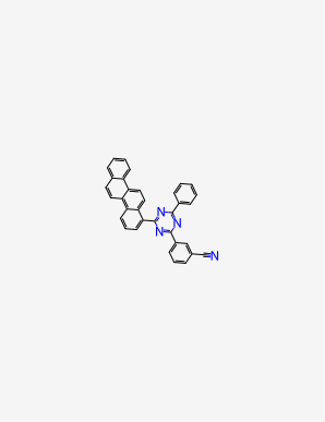 N#Cc1cccc(-c2nc(-c3ccccc3)nc(-c3cccc4c3ccc3c5ccccc5ccc43)n2)c1